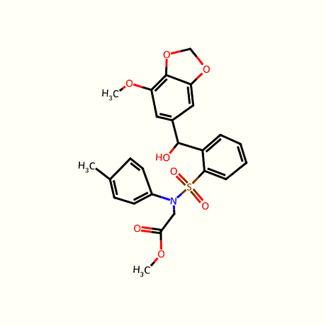 COC(=O)CN(c1ccc(C)cc1)S(=O)(=O)c1ccccc1C(O)c1cc(OC)c2c(c1)OCO2